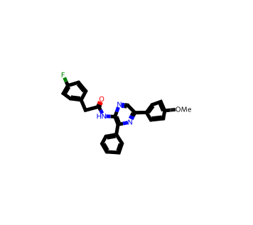 COc1ccc(-c2cnc(NC(=O)Cc3ccc(F)cc3)c(-c3ccccc3)n2)cc1